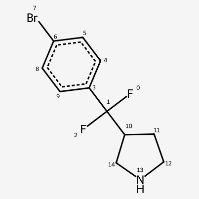 FC(F)(c1ccc(Br)cc1)C1CCNC1